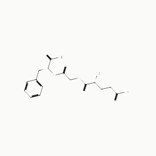 NC(=O)[C@H](Cc1ccccc1)NC(=O)CNC(=O)[C@@H](N)CCC(=O)O